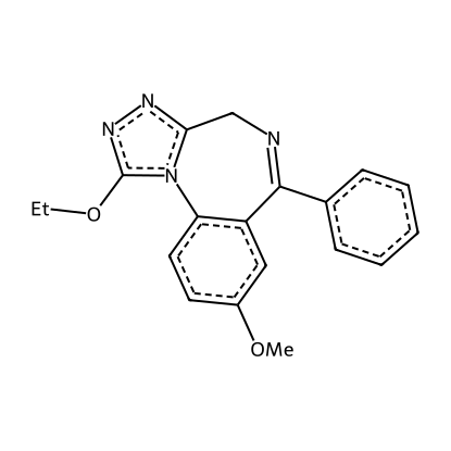 CCOc1nnc2n1-c1ccc(OC)cc1C(c1ccccc1)=NC2